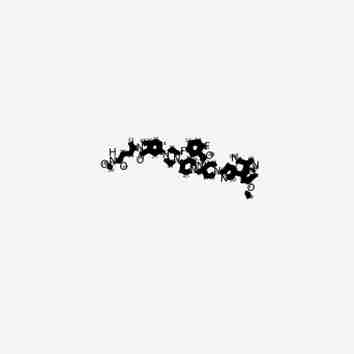 CCOc1cc(-c2ccc(N3CCC(CN4CCC(N5CCN(c6ccc7c(c6)C(=O)N(C(C)CCC(=O)NC=O)C7)CC5)CC4)(NC(=O)c4cc(F)ccc4F)CC3)nc2)c2c(C#N)cnn2c1